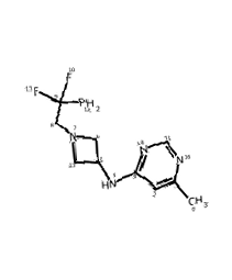 Cc1cc(NC2CN(CC(F)(F)P)C2)ncn1